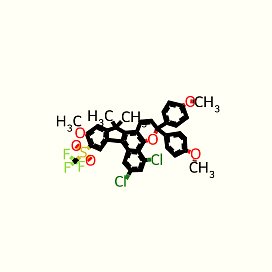 COc1ccc(C2(c3ccc(OC)cc3)C=Cc3c4c(c5cc(Cl)cc(Cl)c5c3O2)-c2cc(S(=O)(=O)C(F)(F)F)c(OC)cc2C4(C)C)cc1